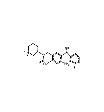 Cc1cc(C(=N)c2cc3c(cc2N)NC(=O)N(C2=CCCC(C)(C)C2)C3)ccn1